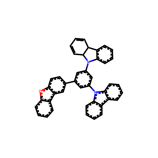 C1=CC2c3ccccc3N(c3cc(-c4ccc5oc6ccccc6c5c4)cc(-n4c5ccccc5c5ccccc54)c3)C2C=C1